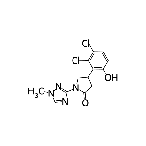 Cn1cnc(N2CC(c3c(O)ccc(Cl)c3Cl)CC2=O)n1